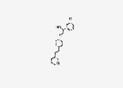 OC(/C=C/c1ccc(/C=C/c2cccnc2)cc1)c1cccc(Cl)c1